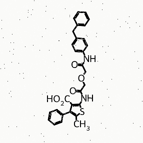 Cc1sc(NC(=O)COCC(=O)Nc2ccc(Cc3ccccc3)cc2)c(C(=O)O)c1-c1ccccc1